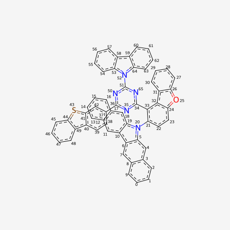 c1ccc2cc3c(cc2c1)c1cc2ccccc2cc1n3-c1ccc2oc3ccccc3c2c1-c1nc(-c2ccc3c(c2)sc2ccccc23)nc(-n2c3ccccc3c3ccccc32)n1